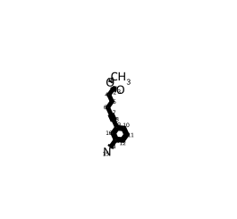 COC(=O)CCCC#Cc1cccc(C#N)c1